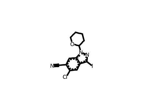 N#Cc1cc2c(cc1Cl)c(I)nn2C1CCCCO1